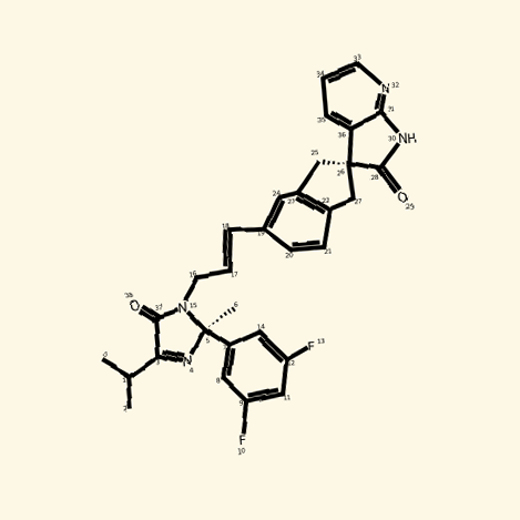 CC(C)C1=N[C@](C)(c2cc(F)cc(F)c2)N(C/C=C/c2ccc3c(c2)C[C@@]2(C3)C(=O)Nc3ncccc32)C1=O